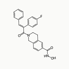 O=C(NO)c1ccc2c(c1)CCN(C(=O)/C(=C/c1ccccc1)c1ccc(F)cc1)C2